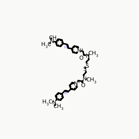 CN(CCSSCCN(C)C(=O)C[n+]1ccc(/C=C/c2ccc(N(C)C)cc2)cc1)C(=O)C[n+]1ccc(/C=C/c2ccc(N(C)C)cc2)cc1